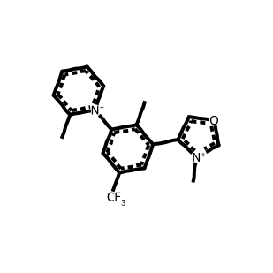 Cc1c(-c2coc[n+]2C)cc(C(F)(F)F)cc1-[n+]1ccccc1C